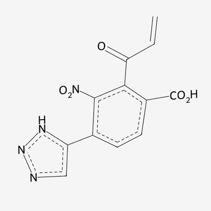 C=CC(=O)c1c(C(=O)O)ccc(-c2cnn[nH]2)c1[N+](=O)[O-]